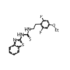 CCOc1cc(F)c(CCNC(=S)Nc2nc3ccccc3s2)c(F)c1